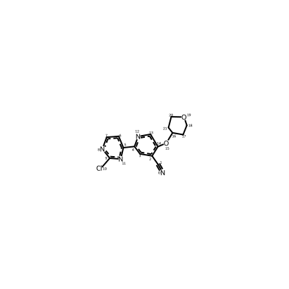 N#Cc1cc(-c2ccnc(Cl)n2)ncc1OC1CCOCC1